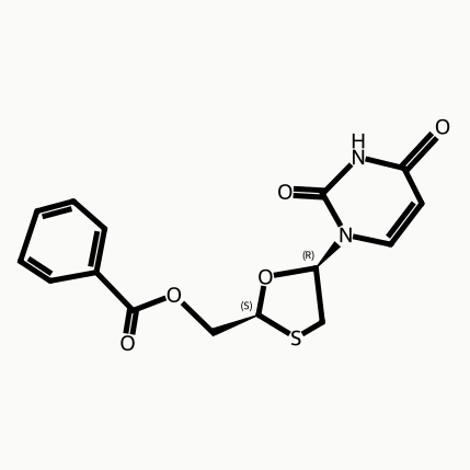 O=C(OC[C@H]1O[C@@H](n2ccc(=O)[nH]c2=O)CS1)c1ccccc1